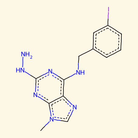 Cn1cnc2c(NCc3cccc(I)c3)nc(NN)nc21